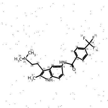 Cc1[nH]c2ccc(NC(=O)c3ccc(C(F)(F)F)cc3)cc2c1CCN(C)C